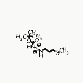 COCCCNS(=O)(=O)NC(=O)OC(C)(C)C